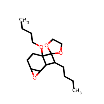 CCCCOC12CCC3OC3C1C(CCCC)C21OCCO1